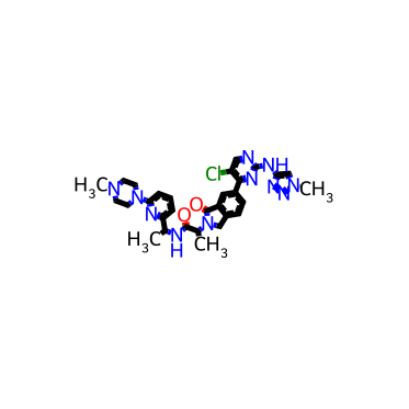 CC(NC(=O)C(C)N1Cc2ccc(-c3nc(Nc4cn(C)nn4)ncc3Cl)cc2C1=O)c1cccc(N2CCN(C)CC2)n1